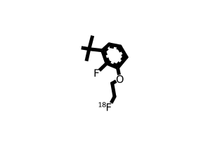 CC(C)(C)c1cccc(OCC[18F])c1F